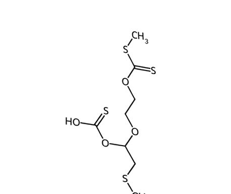 CSCC(OCCOC(=S)SC)OC(O)=S